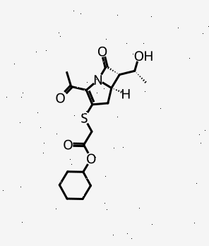 CC(=O)C1=C(SCC(=O)OC2CCCCC2)C[C@@H]2[C@@H]([C@@H](C)O)C(=O)N12